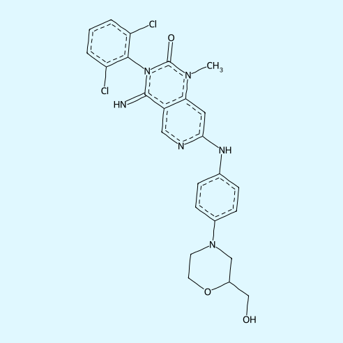 Cn1c(=O)n(-c2c(Cl)cccc2Cl)c(=N)c2cnc(Nc3ccc(N4CCOC(CO)C4)cc3)cc21